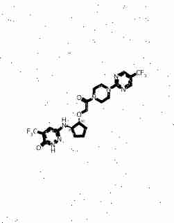 O=C(CO[C@@H]1CCC[C@H]1Nc1cc(C(F)(F)F)c(=O)[nH]n1)N1CCN(c2ncc(C(F)(F)F)cn2)CC1